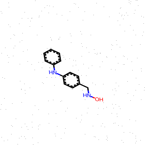 ONCc1ccc(Nc2cc[c]cc2)cc1